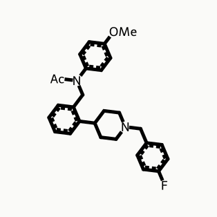 COc1ccc(N(Cc2ccccc2C2CCN(Cc3ccc(F)cc3)CC2)C(C)=O)cc1